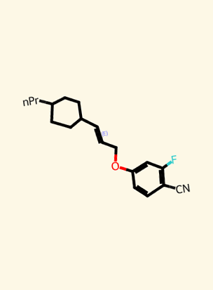 CCCC1CCC(/C=C/COc2ccc(C#N)c(F)c2)CC1